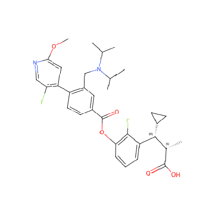 COc1cc(-c2ccc(C(=O)Oc3cccc([C@H](C4CC4)[C@H](C)C(=O)O)c3F)cc2CN(C(C)C)C(C)C)c(F)cn1